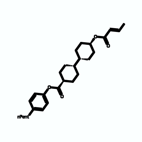 CC=CC(=O)O[C@H]1CC[C@H]([C@H]2CC[C@H](C(=O)Oc3ccc(CCCCC)cc3)CC2)CC1